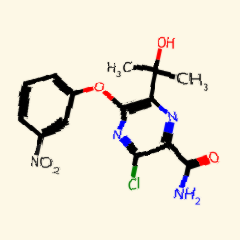 CC(C)(O)c1nc(C(N)=O)c(Cl)nc1Oc1cccc([N+](=O)[O-])c1